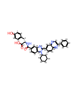 O=C(N[C@@H](Cc1ccc(O)cc1)C(=O)O)c1ccc2c(c1)nc(-c1ccc3nc(-c4ccccc4)cnc3c1)n2C1CCCCC1